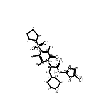 Cc1c(S(=O)(=O)C2CCCC2)c(C)c(=O)n(C(CC2CCOCC2)C(=O)Nc2ncc(Cl)s2)c1C